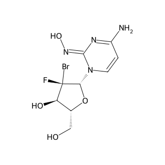 Nc1ccn([C@@H]2O[C@H](CO)[C@@H](O)[C@]2(F)Br)/c(=N/O)n1